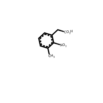 Cc1cccc(CC(=O)O)c1[N+](=O)[O-]